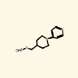 O=[C]OCC1CCN(c2ccncc2)CC1